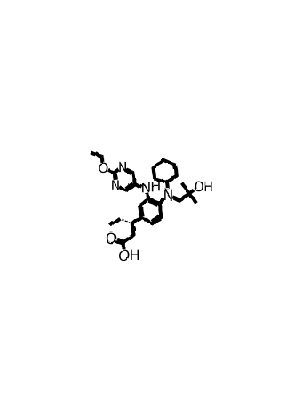 CCOc1ncc(Nc2cc([C@@H](CC)CC(=O)O)ccc2N(CC(C)(C)O)C2CCCCC2)cn1